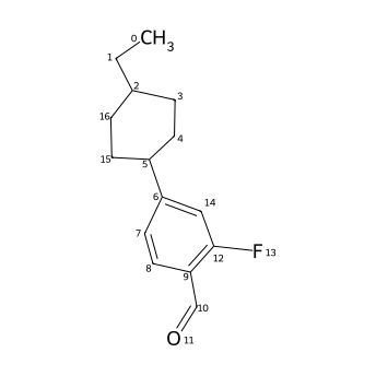 CCC1CCC(c2ccc(C=O)c(F)c2)CC1